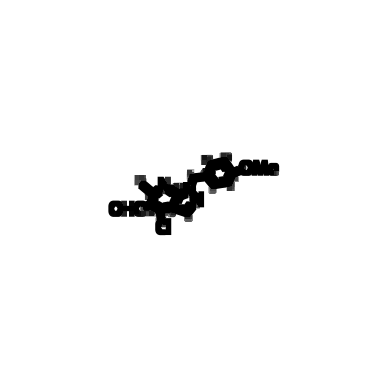 COc1ccc(Cn2ncc3c(Cl)c(C=O)c(C)nc32)cc1